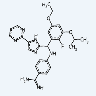 CCOc1cc(OC(C)C)c(F)c(C(Nc2ccc(C(=N)N)cc2)c2ncc(-c3ncccn3)[nH]2)c1